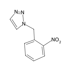 O=[N+]([O-])c1ccccc1Cn1ccnn1